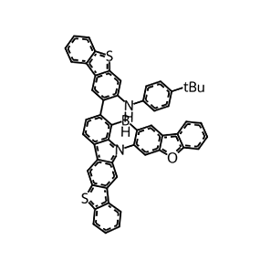 CC(C)(C)c1ccc(Nc2cc3sc4ccccc4c3cc2-c2ccc3c4cc5sc6ccccc6c5cc4n4c3c2Bc2cc3c(cc2-4)oc2ccccc23)cc1